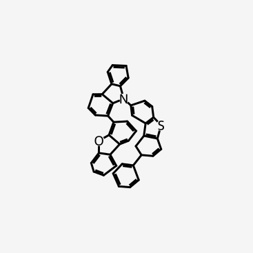 C1=CC(c2ccccc2)Cc2c1sc1ccc(-n3c4ccccc4c4cccc(-c5cccc6c5oc5ccccc56)c43)cc21